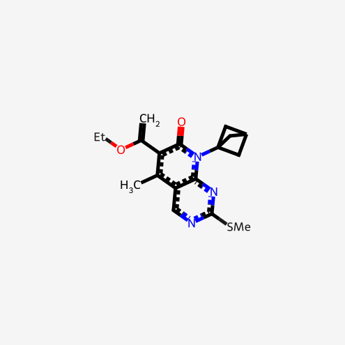 C=C(OCC)c1c(C)c2cnc(SC)nc2n(C23CC(C2)C3)c1=O